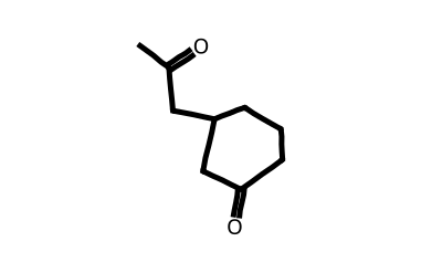 CC(=O)CC1CCCC(=O)C1